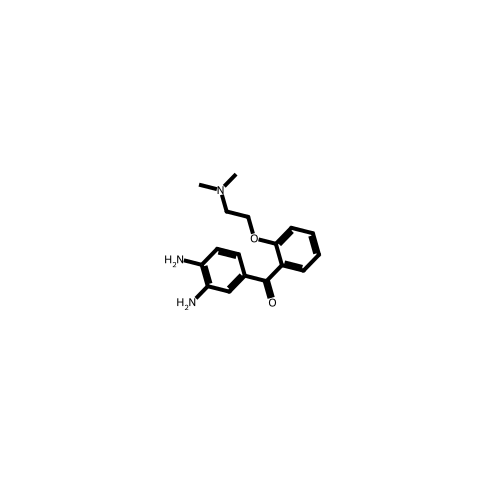 CN(C)CCOc1ccccc1C(=O)c1ccc(N)c(N)c1